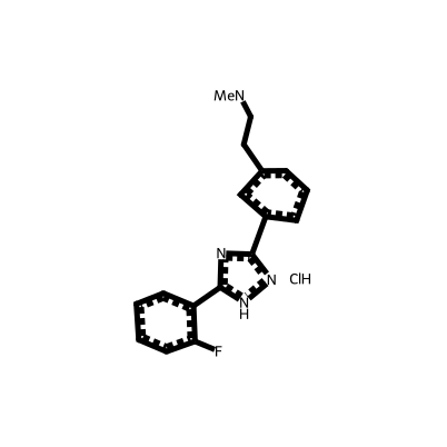 CNCCc1cccc(-c2n[nH]c(-c3ccccc3F)n2)c1.Cl